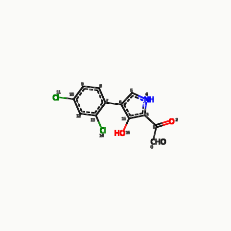 O=CC(=O)c1[nH]cc(-c2ccc(Cl)cc2Cl)c1O